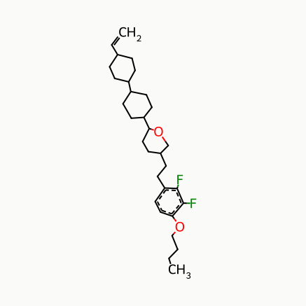 C=CC1CCC(C2CCC(C3CCC(CCc4ccc(OCCCC)c(F)c4F)CO3)CC2)CC1